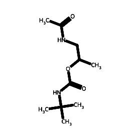 CC(=O)NCC(C)OC(=O)NC(C)(C)C